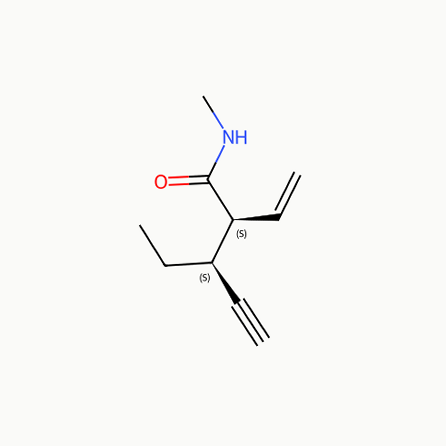 C#C[C@@H](CC)[C@H](C=C)C(=O)NC